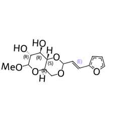 COC1O[C@@H]2COC(/C=C/c3ccco3)O[C@H]2[C@H](O)[C@H]1O